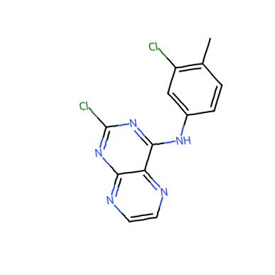 Cc1ccc(Nc2nc(Cl)nc3nccnc23)cc1Cl